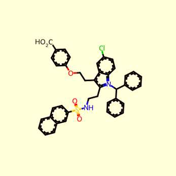 O=C(O)c1ccc(OCCc2c(CCNS(=O)(=O)c3ccc4ccccc4c3)n(C(c3ccccc3)c3ccccc3)c3ccc(Cl)cc23)cc1